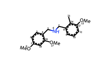 COc1ccc(CNCc2cccc(OC)c2C)c(OC)c1